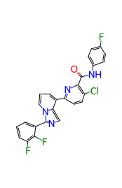 O=C(Nc1ccc(F)cc1)c1nc(-c2cccn3c(-c4cccc(F)c4F)ncc23)ccc1Cl